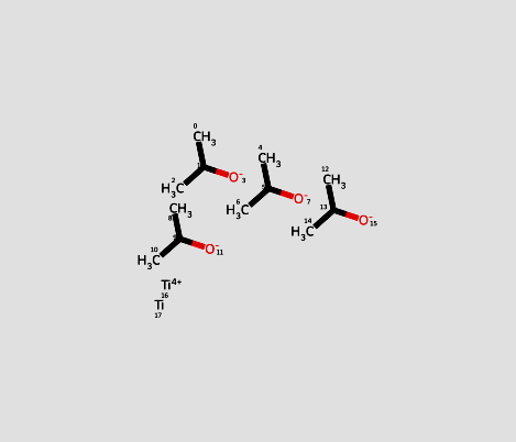 CC(C)[O-].CC(C)[O-].CC(C)[O-].CC(C)[O-].[Ti+4].[Ti]